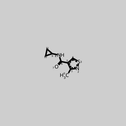 Cc1nscc1C(=O)NC1CC1